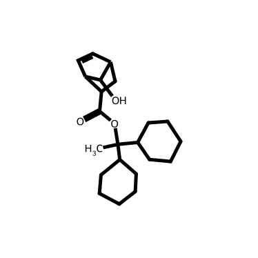 CC(OC(=O)C1CC2C=CC1C2O)(C1CCCCC1)C1CCCCC1